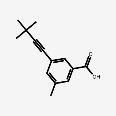 Cc1cc(C#CC(C)(C)C)cc(C(=O)O)c1